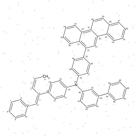 C/C=C\C(=C/c1ccccc1)c1ccc(N(c2ccc(-c3cc4c5ccccc5ccc4c4ccccc34)cc2)c2cccc(-c3ccccc3)c2)cc1